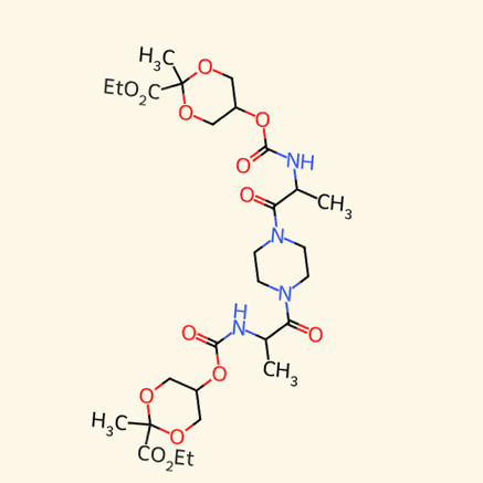 CCOC(=O)C1(C)OCC(OC(=O)NC(C)C(=O)N2CCN(C(=O)C(C)NC(=O)OC3COC(C)(C(=O)OCC)OC3)CC2)CO1